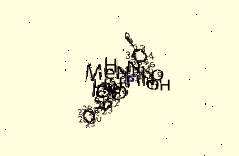 C#Cc1ccc(C[C@@H](C(=O)NO)N(N)/C=C(/CNS(=O)(=O)c2ccc(-c3ccccc3)s2)NC)cc1